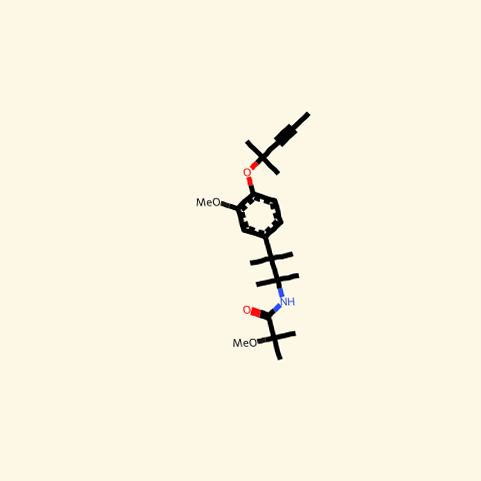 CC#CC(C)(C)Oc1ccc(C(C)(C)C(C)(C)NC(=O)C(C)(C)OC)cc1OC